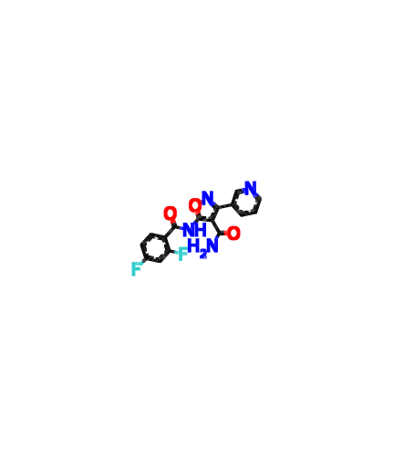 NC(=O)c1c(-c2cccnc2)noc1NC(=O)c1ccc(F)cc1F